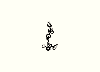 O=C(CF)C1CN(CCCN2CCC(c3nc(-c4ccncc4)no3)CC2)c2c(Cl)cccc21